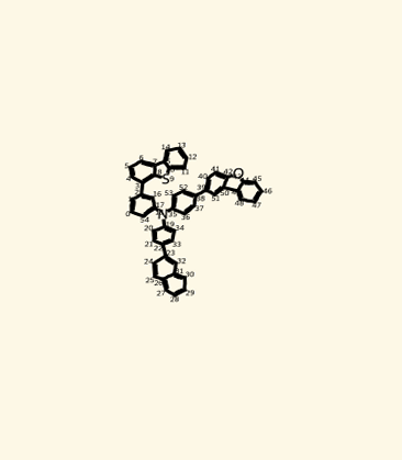 c1cc(-c2cccc3c2sc2ccccc23)cc(N(c2ccc(-c3ccc4ccccc4c3)cc2)c2ccc(-c3ccc4oc5ccccc5c4c3)cc2)c1